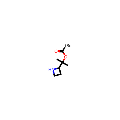 CC(C)(C)C(=O)OC(C)(C)C1CCN1